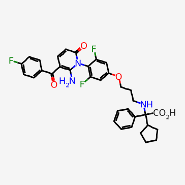 Nc1c(C(=O)c2ccc(F)cc2)ccc(=O)n1-c1c(F)cc(OCCCNC(C(=O)O)(c2ccccc2)C2CCCC2)cc1F